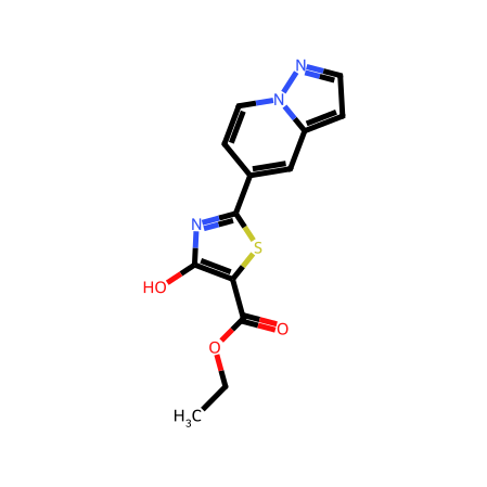 CCOC(=O)c1sc(-c2ccn3nccc3c2)nc1O